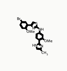 COc1ccc(Br)cc1-c1csc(Nc2ccc(-c3nc(C)c[nH]3)c(OC)c2)n1